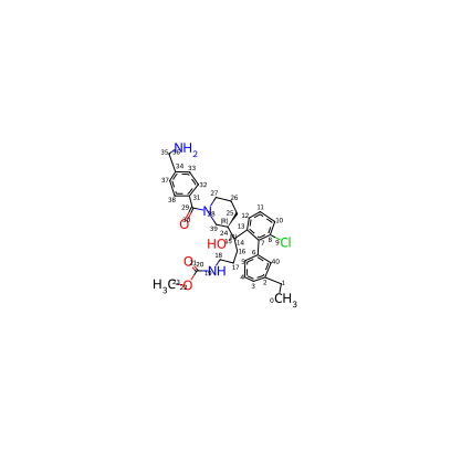 CCc1cccc(-c2c(Cl)cccc2[C@@](O)(CCCNC(=O)OC)[C@@H]2CCCN(C(=O)c3ccc(CN)cc3)C2)c1